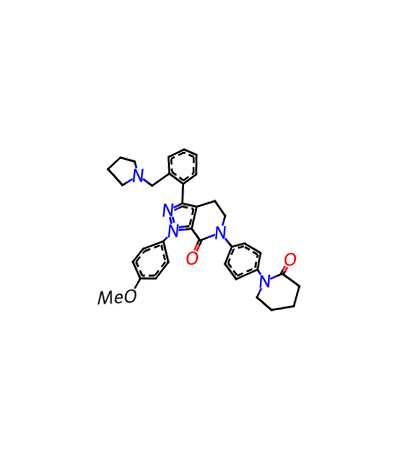 COc1ccc(-n2nc(-c3ccccc3CN3CCCC3)c3c2C(=O)N(c2ccc(N4CCCCC4=O)cc2)CC3)cc1